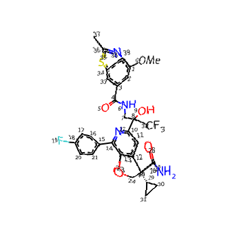 COc1cc(C(=O)NCC(O)(c2cc3c(c(-c4ccc(F)cc4)n2)OC[C@@]3(C(N)=O)C2CC2)C(F)(F)F)cc2sc(C)nc12